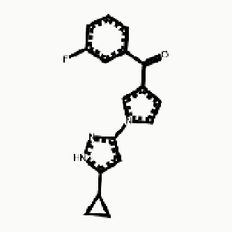 O=C(c1cccc(F)c1)c1ccn(-c2cc(C3CC3)[nH]n2)c1